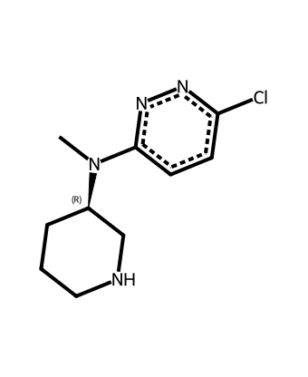 CN(c1ccc(Cl)nn1)[C@@H]1CCCNC1